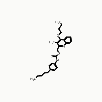 CCCCCc1ccc(NC(=O)OCc2nc3ccccc3c(OCCCC)c2C)cc1